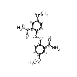 COc1ccc(SSc2ccc(OC)cc2C(N)=O)c(C(N)=O)c1